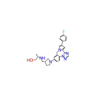 C[C@H](CO)NC[C@@H]1CCN(c2ccc3c(c2)Cn2cc(-c4ccc(F)cc4)cc2-c2ncnn2-3)C1